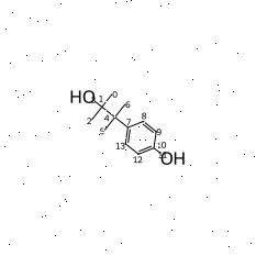 CC(C)(O)C(C)(C)c1ccc(O)cc1